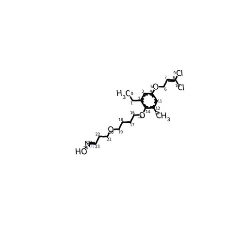 CCc1cc(OCC=C(Cl)Cl)cc(C)c1OCCCCOCC/C=N/O